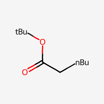 CCCCCC(=O)OC(C)(C)C